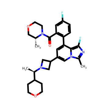 Cc1nc(F)c2c(-c3ccc(F)cc3C(=O)N3CCOC[C@H]3C)cc(C3CN([C@H](C)C4CCOCC4)C3)cn12